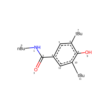 CCCCNC(=O)c1cc(C(C)(C)C)c(O)c(C(C)(C)C)c1